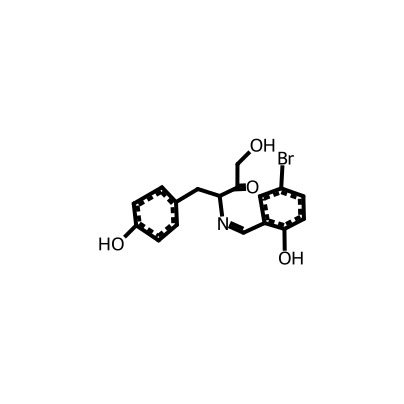 O=C(CO)C(Cc1ccc(O)cc1)/N=C\c1cc(Br)ccc1O